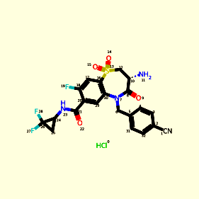 Cl.N#Cc1ccc(CN2C(=O)[C@@H](N)CS(=O)(=O)c3cc(F)c(C(=O)NC4CC4(F)F)cc32)cc1